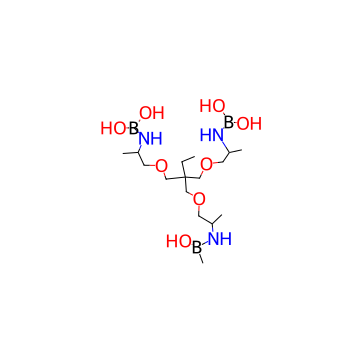 CCC(COCC(C)NB(C)O)(COCC(C)NB(O)O)COCC(C)NB(O)O